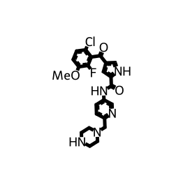 COc1ccc(Cl)c(C(=O)c2c[nH]c(C(=O)Nc3ccc(CN4CCNCC4)nc3)c2)c1F